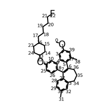 COc1ccc(C2=C(c3ccc(OC4CCC(CCCCCF)CC4)cc3)c3ccc(C)cc3CCC2)c(C)c1